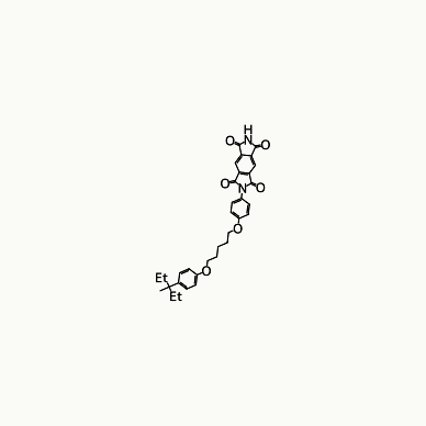 CCC(C)(CC)c1ccc(OCCCCCOc2ccc(-n3c(=O)c4cc5c(=O)[nH]c(=O)c5cc4c3=O)cc2)cc1